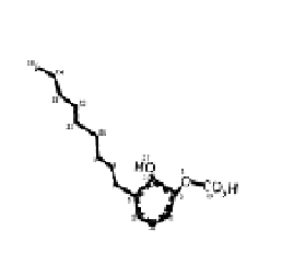 O=C(O)Oc1cccc(CCCCCCCCI)c1O